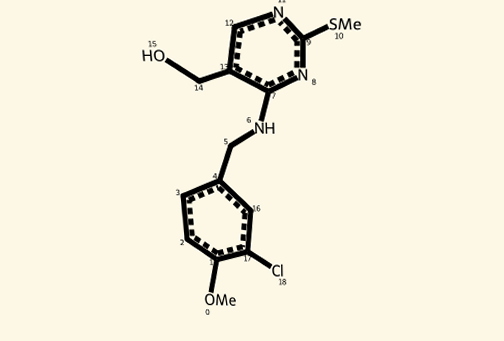 COc1ccc(CNc2nc(SC)ncc2CO)cc1Cl